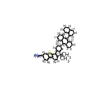 CC1(C)c2cc(-c3c4ccccc4c(-c4cccc5ccccc45)c4ccccc34)ccc2-c2c1ccc1c2sc2cc(C#N)ccc21